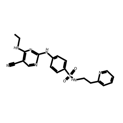 CCNc1nc(Nc2ccc(S(=O)(=O)NCCc3ccccn3)cc2)ncc1C#N